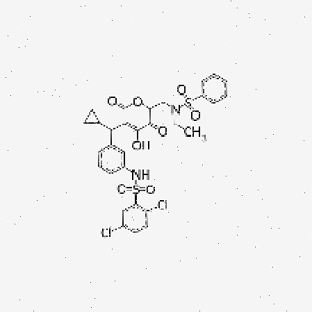 CCN(CC1OC(=O)C(C(c2cccc(NS(=O)(=O)c3cc(Cl)ccc3Cl)c2)C2CC2)=C(O)C1=O)S(=O)(=O)c1ccccc1